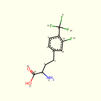 NC(CCc1ccc(C(F)(F)F)c(F)c1)C(=O)O